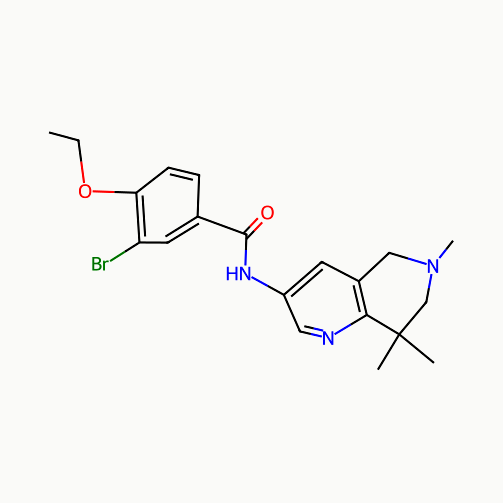 CCOc1ccc(C(=O)Nc2cnc3c(c2)CN(C)CC3(C)C)cc1Br